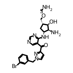 NSOC[C@H]1C[C@@H](Nc2ncncc2C(=O)c2ccn(Cc3cccc(Br)c3)n2)[C@H](N)[C@@H]1O